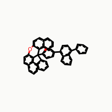 c1ccc(-c2ccc(-c3ccc(C4(c5ccccc5)c5c(ccc6ccccc56)Oc5ccc6ccccc6c54)cc3)c3ccccc23)cc1